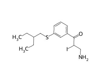 CCC(CC)CSc1cccc(C(=O)C(I)CN)c1